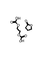 O=C(O)OCCOC(=O)O.O=C1CCCO1